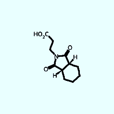 O=C(O)CCN1C(=O)[C@H]2CCCC[C@H]2C1=O